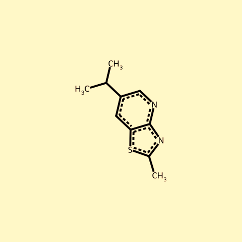 Cc1nc2ncc(C(C)C)cc2s1